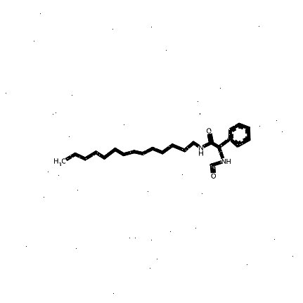 CCCCCCCCCCCCCCNC(=O)C(N[C]=O)c1ccccc1